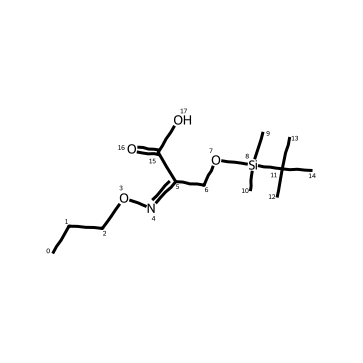 CCCON=C(CO[Si](C)(C)C(C)(C)C)C(=O)O